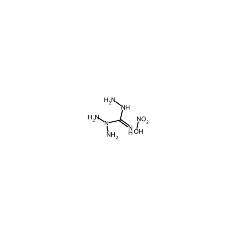 N=C(NN)N(N)N.O=[N+]([O-])O